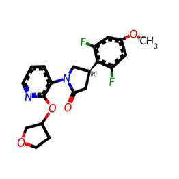 COc1cc(F)c([C@H]2CC(=O)N(c3cccnc3OC3CCOC3)C2)c(F)c1